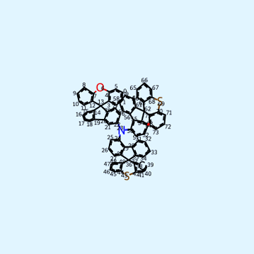 c1ccc2c(c1)Oc1ccccc1C21c2ccccc2-c2cc(N(c3cccc4c3-c3ccccc3C43c4ccccc4Sc4ccccc43)c3cccc4c3-c3ccccc3C43c4ccccc4Sc4ccccc43)ccc21